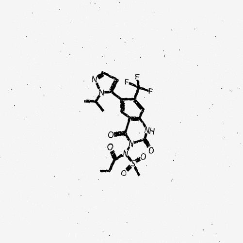 CCC(=O)N(n1c(=O)[nH]c2cc(C(F)(F)F)c(-c3ccnn3C(C)C)cc2c1=O)S(C)(=O)=O